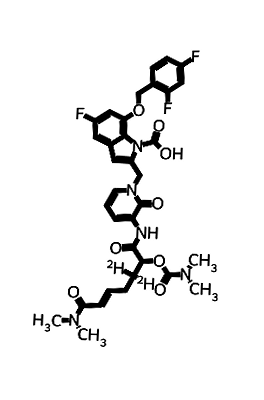 [2H]C([2H])(C/C=C/C(=O)N(C)C)C(OC(=O)N(C)C)C(=O)Nc1cccn(Cc2cc3cc(F)cc(OCc4ccc(F)cc4F)c3n2C(=O)O)c1=O